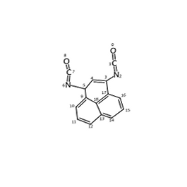 O=C=NC1=CC(N=C=O)c2cccc3cccc1c23